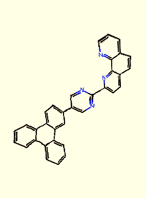 c1cnc2c(c1)ccc1ccc(-c3ncc(-c4ccc5c6ccccc6c6ccccc6c5c4)cn3)nc12